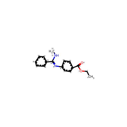 CCOC(=O)c1ccc(N=C(NC)c2ccccc2)cc1